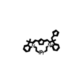 CC(C)CCN1/C(=C\C2=CC(=C/C3=[N+](CCC(C)C)c4ccccc4C3(C)CC3C=CC=C3)/CC2)C(C)(C)c2ccccc21